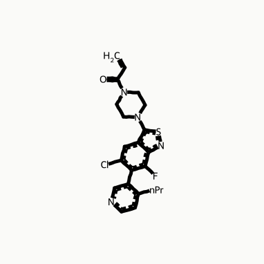 C=CC(=O)N1CCN(c2snc3c(F)c(-c4cnccc4CCC)c(Cl)cc23)CC1